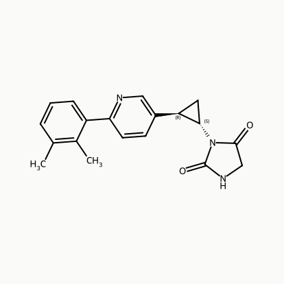 Cc1cccc(-c2ccc([C@H]3C[C@@H]3N3C(=O)CNC3=O)cn2)c1C